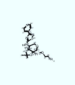 CC1(C)O[C@@H]2[C@H](O1)[C@@H](Nc1nc(-c3ccncc3)ns1)CO[C@@H]2COCCN